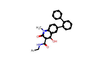 CC(=O)CNC(=O)c1c(O)c2cc(-c3ccccc3-c3ccccc3)ccc2n(C)c1=O